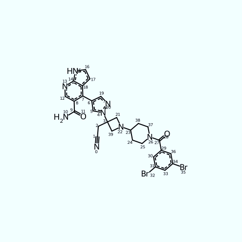 N#CCC1(n2cc(-c3c(C(N)=O)cnc4[nH]ccc34)cn2)CN(C2CCN(C(=O)c3cc(Br)cc(Br)c3)CC2)C1